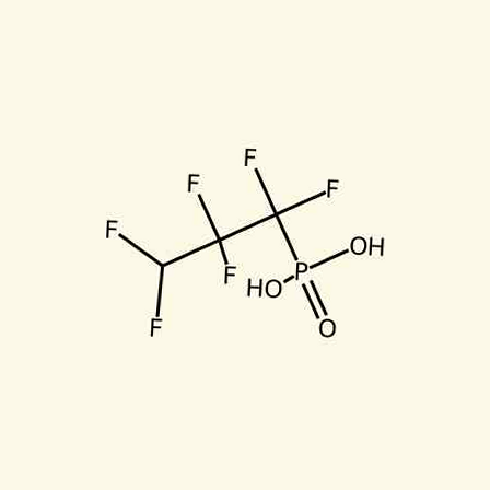 O=P(O)(O)C(F)(F)C(F)(F)C(F)F